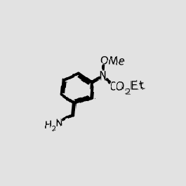 CCOC(=O)N(OC)c1[c]c(CN)ccc1